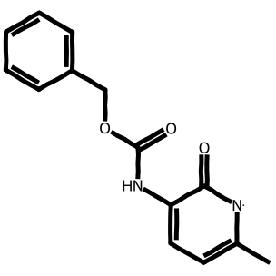 CC1=CC=C(NC(=O)OCc2ccccc2)C(=O)[N]1